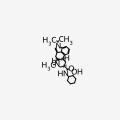 CC(C)n1cc2c3c(cccc31)[C@H]1C[C@@H](C(=O)NC3CCCCC3O)CN(C)[C@@H]1C2